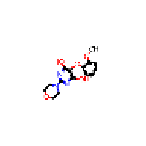 COc1ccccc1Oc1c(O)nc(N2CCOCC2)nc1O